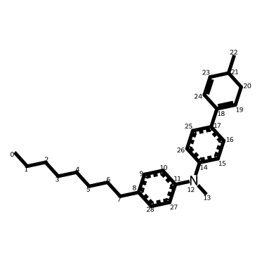 CCCCCCCCc1ccc(N(C)c2ccc(C3=CCC(C)C=C3)cc2)cc1